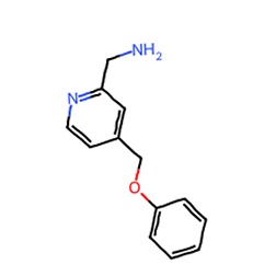 NCc1cc(COc2ccccc2)ccn1